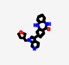 O=C1Nc2ccccc2Nc2cc(-c3cn(CC4CCOC4)c4cnccc34)ccc21